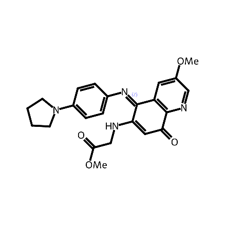 COC(=O)CNC1=CC(=O)c2ncc(OC)cc2/C1=N/c1ccc(N2CCCC2)cc1